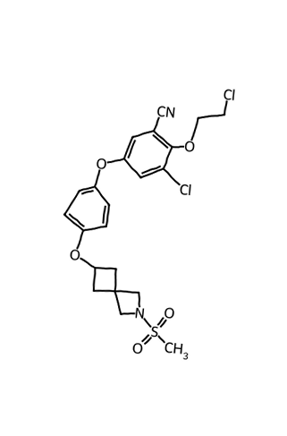 CS(=O)(=O)N1CC2(CC(Oc3ccc(Oc4cc(Cl)c(OCCCl)c(C#N)c4)cc3)C2)C1